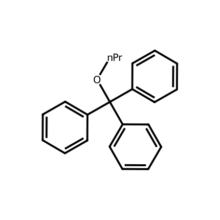 CCCOC(c1ccccc1)(c1ccccc1)c1ccccc1